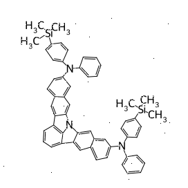 C[Si](C)(C)c1ccc(N(c2ccccc2)c2ccc3cc4c5cccc6c7cc8ccc(N(c9ccccc9)c9ccc([Si](C)(C)C)cc9)cc8cc7n(c4cc3c2)c56)cc1